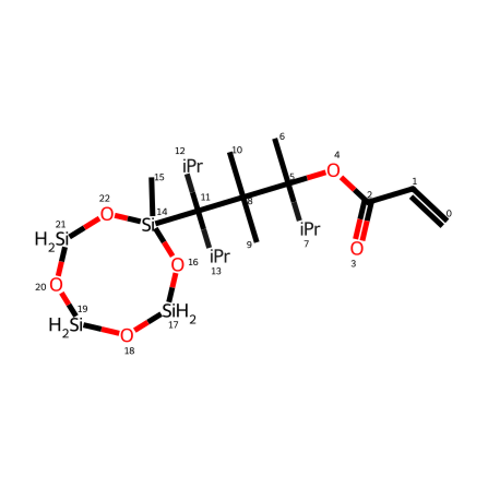 C=CC(=O)OC(C)(C(C)C)C(C)(C)C(C(C)C)(C(C)C)[Si]1(C)O[SiH2]O[SiH2]O[SiH2]O1